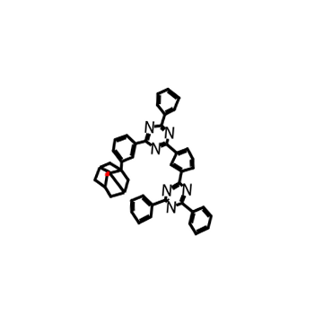 c1ccc(-c2nc(-c3ccccc3)nc(-c3cccc(-c4nc(-c5ccccc5)nc(-c5cccc(C67CC8CC(CC(C8)C6)C7)c5)n4)c3)n2)cc1